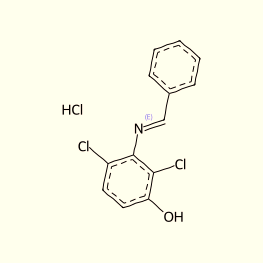 Cl.Oc1ccc(Cl)c(/N=C/c2ccccc2)c1Cl